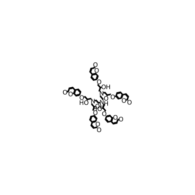 O=c1ccc2ccc(OCC(O)CN(CCN(CC(O)COc3ccc4ccc(=O)oc4c3)CC(O)COc3ccc4ccc(=O)oc4c3)CCN(CC(O)COc3ccc4ccc(=O)oc4c3)CC(O)COc3ccc4ccc(=O)oc4c3)cc2o1